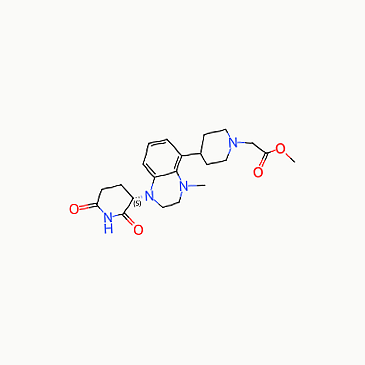 COC(=O)CN1CCC(c2cccc3c2N(C)CCN3[C@H]2CCC(=O)NC2=O)CC1